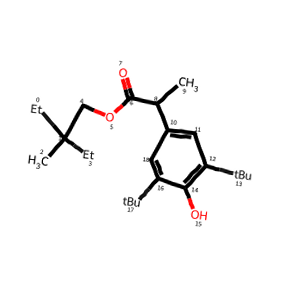 CCC(C)(CC)COC(=O)C(C)c1cc(C(C)(C)C)c(O)c(C(C)(C)C)c1